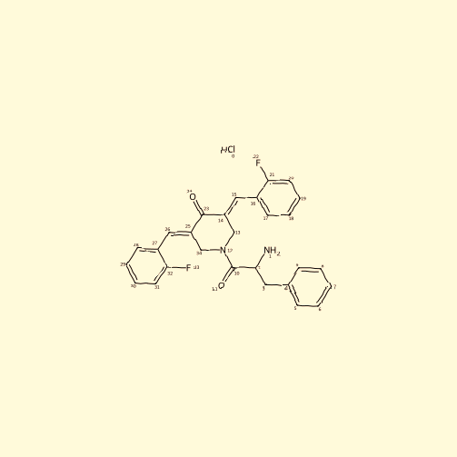 Cl.NC(Cc1ccccc1)C(=O)N1CC(=Cc2ccccc2F)C(=O)C(=Cc2ccccc2F)C1